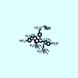 Br.CC1(C)C(/C=C/C2=C(Oc3ccc(CCC(=O)O)cc3)C(=C/C=C3\N(CCC[N+](C)(C)C)c4ccc(S(=O)(=O)O)cc4C3(C)C)/CCC2)=[N+](CCC[N+](C)(C)C)c2ccc(S(=O)(=O)O)cc21.[NaH].[NaH]